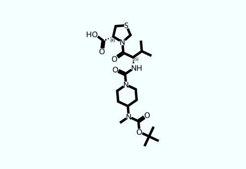 CC(C)[C@H](NC(=O)N1CCC(N(C)C(=O)OC(C)(C)C)CC1)C(=O)N1CSC[C@H]1C(=O)O